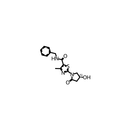 Cc1nc(N2C[C@@H](O)CC2=O)sc1C(=O)NCc1ccccc1